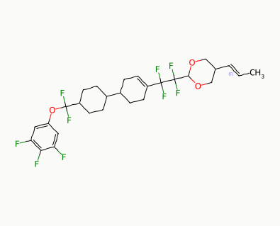 C/C=C/C1COC(C(F)(F)C(F)(F)C2=CCC(C3CCC(C(F)(F)Oc4cc(F)c(F)c(F)c4)CC3)CC2)OC1